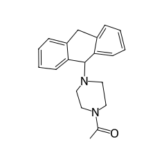 CC(=O)N1CCN(C2c3ccccc3Cc3ccccc32)CC1